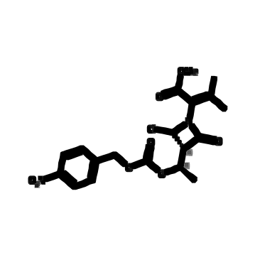 COC(=O)C(=C(C)C)N1C(=O)[C@H]([C@@H](C)OC(=O)OCc2ccc([N+](=O)[O-])cc2)C1Cl